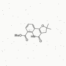 COC(=O)c1cccc2c3c(c(=O)[nH]c12)CC(C)(C)O3